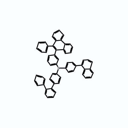 c1ccc(-c2ccccc2-c2ccc(N(c3ccc(-c4cccc5ccccc45)cc3)c3cccc(-c4c(-c5ccccc5)c5ccccc5c5ccccc45)c3)cc2)cc1